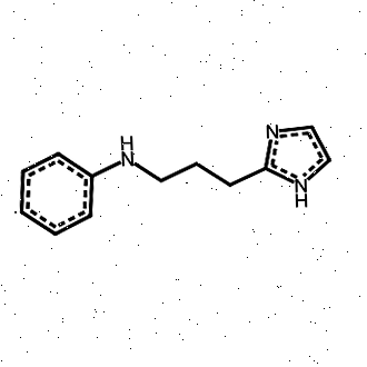 [c]1ccc(NCCCc2ncc[nH]2)cc1